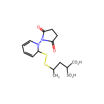 CC(CC(C(=O)O)S(=O)(=O)O)SSC1C=CC=CN1N1C(=O)CCC1=O